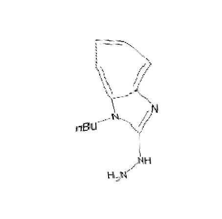 CCCCn1c(NN)nc2ccccc21